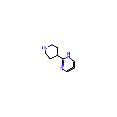 C1=CN=C(C2CCNCC2)NC=1